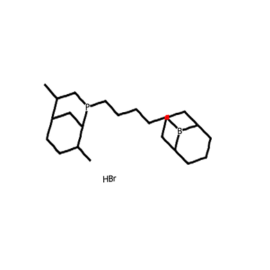 Br.CC1CP(CCCCCB2C3CCCC2CCC3)C2CC1CCC2C